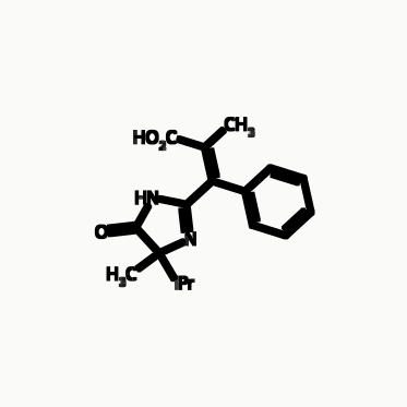 CC(C(=O)O)=C(C1=NC(C)(C(C)C)C(=O)N1)c1ccccc1